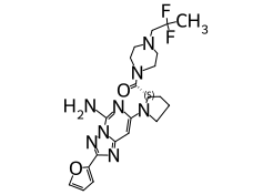 CC(F)(F)CN1CCN(C(=O)[C@@H]2CCCN2c2cc3nc(-c4ccco4)nn3c(N)n2)CC1